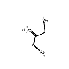 C=C(CO)CC(C)=O